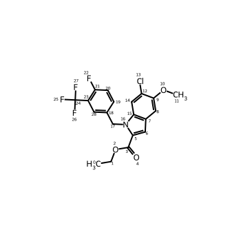 CCOC(=O)c1cc2cc(OC)c(Cl)cc2n1Cc1ccc(F)c(C(F)(F)F)c1